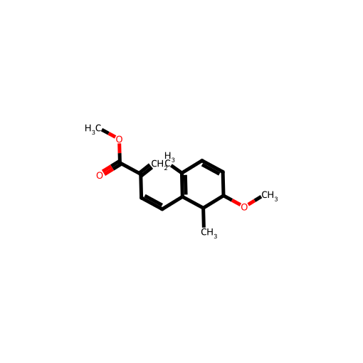 C=C(/C=C\C1=C(C)C=CC(OC)C1C)C(=O)OC